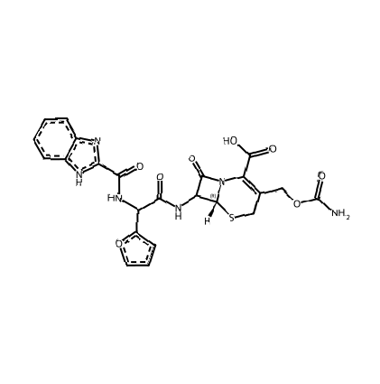 NC(=O)OCC1=C(C(=O)O)N2C(=O)C(NC(=O)C(NC(=O)c3nc4ccccc4[nH]3)c3ccco3)[C@H]2SC1